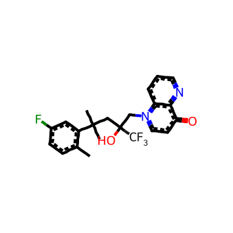 Cc1ccc(F)cc1C(C)(C)CC(O)(Cn1ccc(=O)c2ncccc21)C(F)(F)F